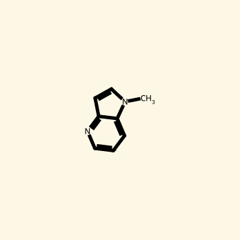 Cn1ccc2nc[c]cc21